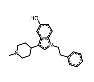 CN1CCC(c2cn(CCc3ccccc3)c3ccc(O)cc23)CC1